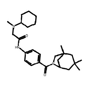 CN(CC(=O)Nc1ccc(C(=O)N2CC3(C)CC2CC(C)(C)C3)cc1)C1CCCCC1